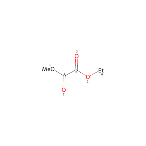 CCOC(=O)C(=O)OC